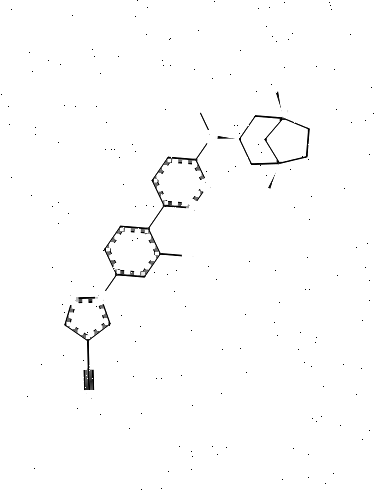 CN(c1ccc(-c2ccc(-n3cc(C#N)cn3)cc2O)nn1)[C@H]1C[C@]2(C)CC[C@](C)(C1)C2